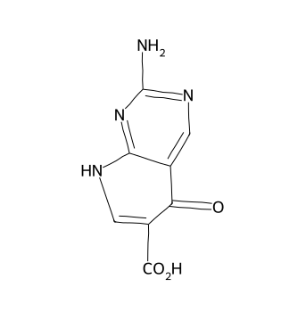 Nc1ncc2c(=O)c(C(=O)O)c[nH]c2n1